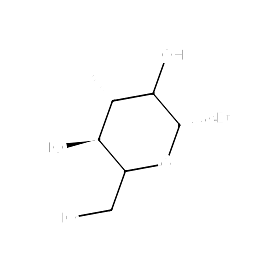 CC[C@@H]1OC(CO)[C@@H](O)[C@H](F)C1O